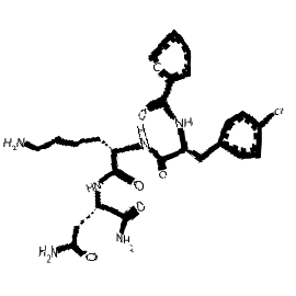 NCCCC[C@H](NC(=O)[C@H](Cc1ccc(Cl)cc1)NC(=O)c1ccccc1)C(=O)N[C@@H](CC(N)=O)C(N)=O